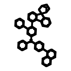 c1ccc(-c2cc(N(c3ccccc3)c3ccc(-c4cccc5ccccc45)cc3)ccc2-c2cccc3c2-c2ccccc2C32CC3CCC2C3)cc1